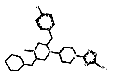 CN1CC(Cc2ccc(Cl)cc2)N(C2CCN(c3nnc(N)[nH]3)CC2)CC1CC1CCCCC1